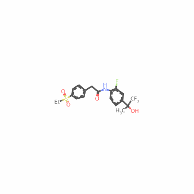 CCS(=O)(=O)c1ccc(CC(=O)Nc2ccc(C(C)(O)C(F)(F)F)cc2F)cc1